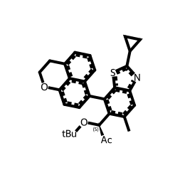 CC(=O)[C@@H](OC(C)(C)C)c1c(C)cc2nc(C3CC3)sc2c1-c1ccc2c3c(cccc13)CCO2